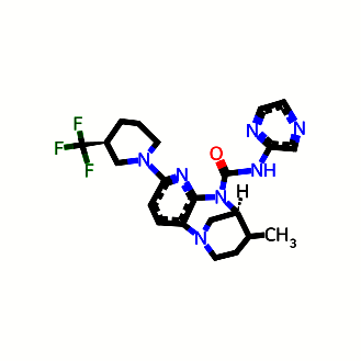 CC1CCN2C[C@H]1N(C(=O)Nc1cnccn1)c1nc(N3CCC[C@H](C(F)(F)F)C3)ccc12